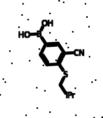 CC(C)CSc1ccc(B(O)O)cc1C#N